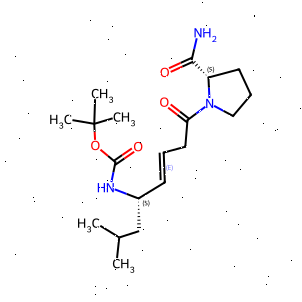 CC(C)C[C@@H](/C=C/CC(=O)N1CCC[C@H]1C(N)=O)NC(=O)OC(C)(C)C